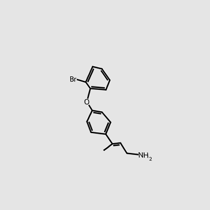 CC(=CCN)c1ccc(Oc2ccccc2Br)cc1